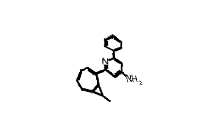 CC1C2CC=CC=C(c3cc(N)cc(-c4ccccc4)n3)C12